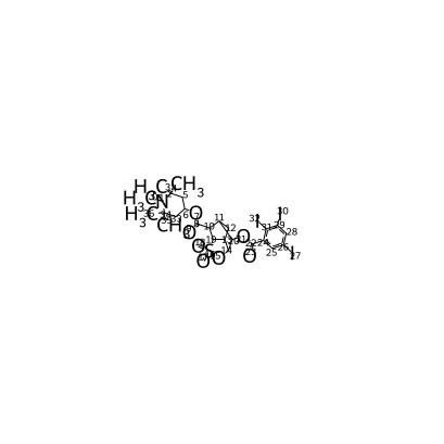 CN1C(C)(C)CC(OC(=O)C2C3CC4C(OS(=O)(=O)C42)C3OC(=O)c2cc(I)cc(I)c2I)CC1(C)C